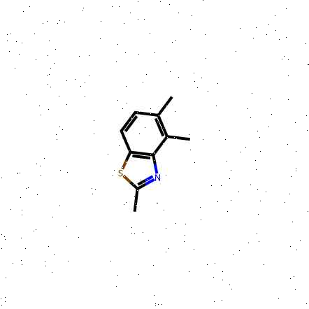 Cc1nc2c(C)c(C)ccc2s1